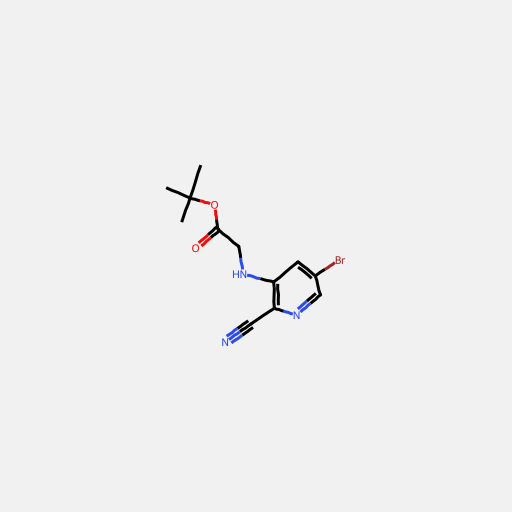 CC(C)(C)OC(=O)CNc1cc(Br)cnc1C#N